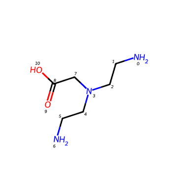 NCCN(CCN)CC(=O)O